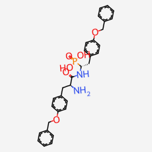 N[C@@H](Cc1ccc(OCc2ccccc2)cc1)C(=O)N[C@@H](Cc1ccc(OCc2ccccc2)cc1)P(=O)(O)O